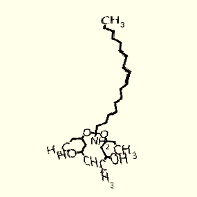 CCCCCCCC/C=C\CCCCCCCC(N)(OC(CC)CC(C)O)OC(CC)CC(C)O